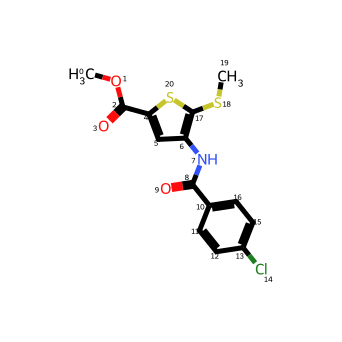 COC(=O)c1cc(NC(=O)c2ccc(Cl)cc2)c(SC)s1